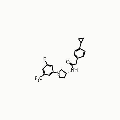 O=C(Cc1ccc(C2CC2)cc1)N[C@@H]1CCN(c2cc(F)cc(C(F)(F)F)c2)C1